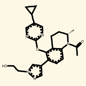 CC(=O)N1c2ccc(-c3cnn(CCO)c3)c(Oc3ncc(C4CC4)cn3)c2CC[C@@H]1C